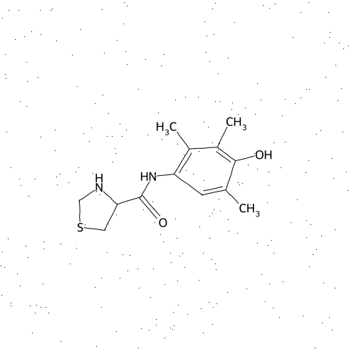 Cc1cc(NC(=O)C2CSCN2)c(C)c(C)c1O